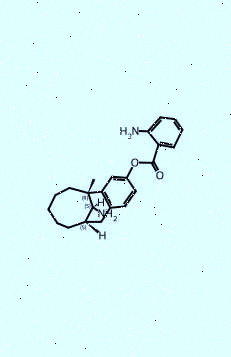 C[C@@]12CCCCC[C@@H](Cc3ccc(OC(=O)c4ccccc4N)cc31)[C@@H]2N